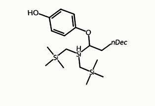 CCCCCCCCCCCC(Oc1ccc(O)cc1)[SiH](C[Si](C)(C)C)C[Si](C)(C)C